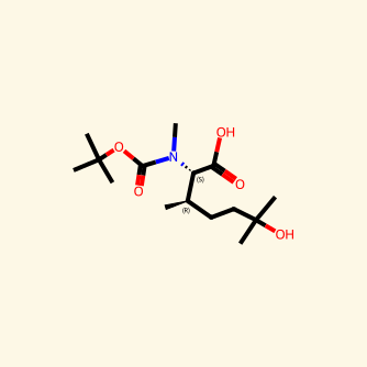 C[C@H](CCC(C)(C)O)[C@@H](C(=O)O)N(C)C(=O)OC(C)(C)C